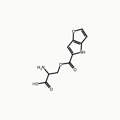 NC(COC(=O)c1cc2occc2[nH]1)C(=O)O